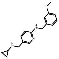 CSc1cccc(CNc2ccc(CNC3CC3)cn2)c1